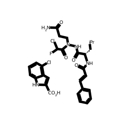 CC(C)C[C@H](NC(=O)/C=C/c1ccccc1)C(=O)NN(CCC(N)=O)C(=O)C(F)Cl.O=C(O)c1cc2c(Cl)cccc2[nH]1